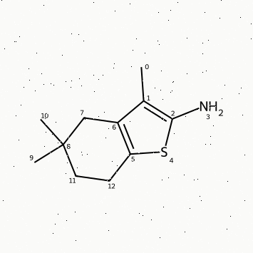 Cc1c(N)sc2c1CC(C)(C)CC2